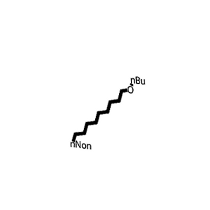 [CH2]CCCOCCCCCCCCCCCCCCCCCC